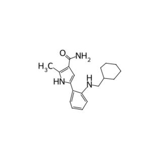 Cc1[nH]c(-c2ccccc2NCC2CCCCC2)cc1C(N)=O